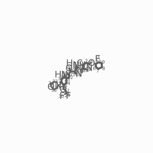 Cc1cc(Oc2ccccc2F)ncc1-n1ncc(C(=O)c2cc3cc(OCC(F)F)c(N4CCOCC4)cc3[nH]2)c1N